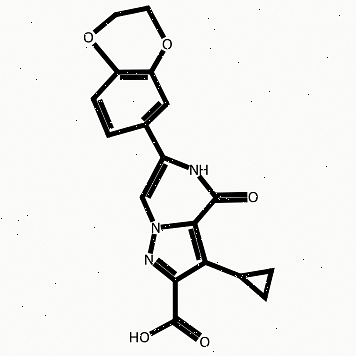 O=C(O)c1nn2cc(-c3ccc4c(c3)OCCO4)[nH]c(=O)c2c1C1CC1